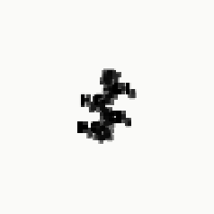 CC(=CCc1ccccc1C)CCC[C@H](C)CCC[C@H](C)CCCC(C)C